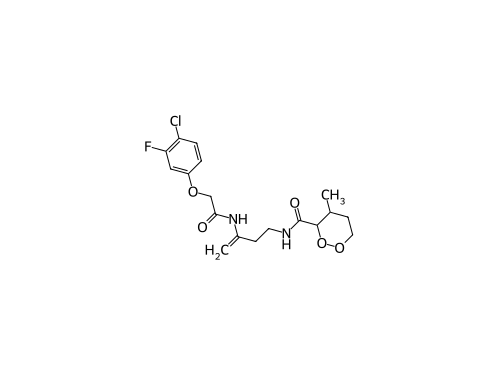 C=C(CCNC(=O)C1OOCCC1C)NC(=O)COc1ccc(Cl)c(F)c1